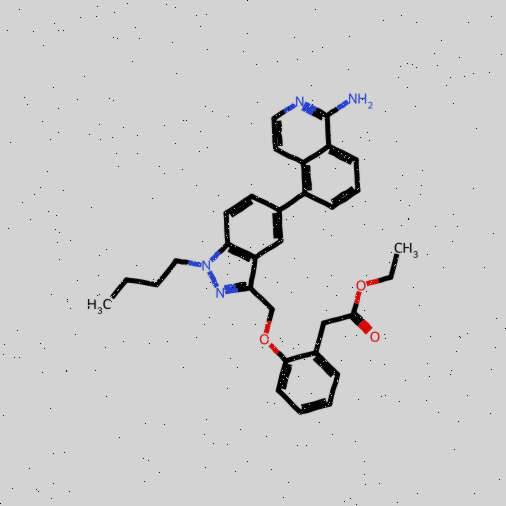 CCCCn1nc(COc2ccccc2CC(=O)OCC)c2cc(-c3cccc4c(N)nccc34)ccc21